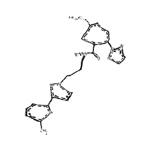 Cc1ccc(-n2nccn2)c(C(=O)NCCn2ccc(-c3cccc(C)n3)n2)c1